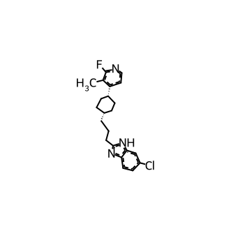 Cc1c(F)nccc1[C@H]1CC[C@@H](CCCc2nc3ccc(Cl)cc3[nH]2)CC1